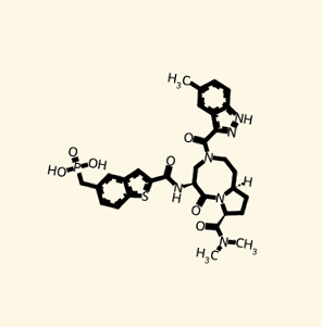 Cc1ccc2[nH]nc(C(=O)N3CC[C@H]4CC[C@@H](C(=O)N(C)C)N4C(=O)[C@@H](NC(=O)c4cc5cc(CP(=O)(O)O)ccc5s4)C3)c2c1